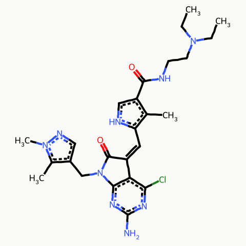 CCN(CC)CCNC(=O)c1c[nH]c(C=C2C(=O)N(Cc3cnn(C)c3C)c3nc(N)nc(Cl)c32)c1C